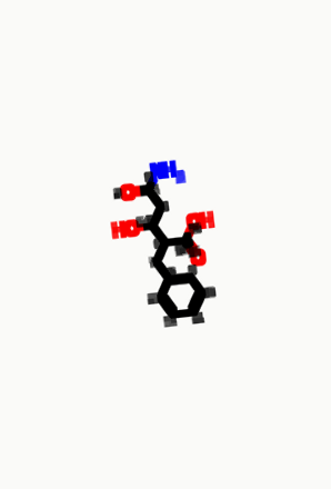 NC(=O)CC(O)C(Cc1ccccc1)C(=O)O